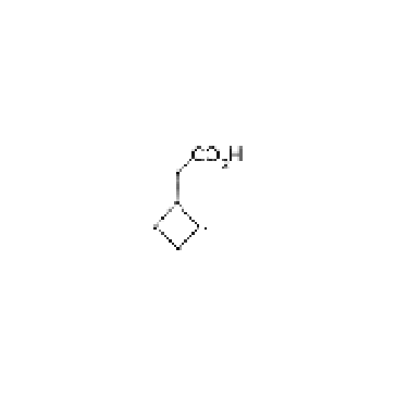 O=C(O)CC1[CH]CC1